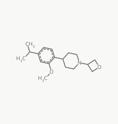 COc1cc(C(C)C)ccc1C1CCN(C2COC2)CC1